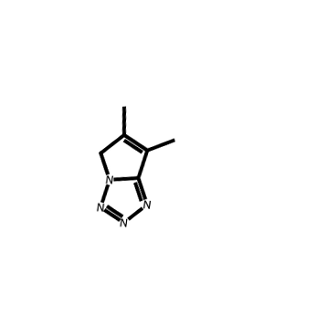 CC1=C(C)c2nnnn2C1